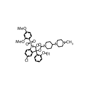 CCOc1ccccc1C1(OC(=O)N2CCC(N3CCN(C)CC3)CC2)C(=O)N(S(=O)(=O)c2ccc(OC)cc2OC)c2ccc(Cl)cc21